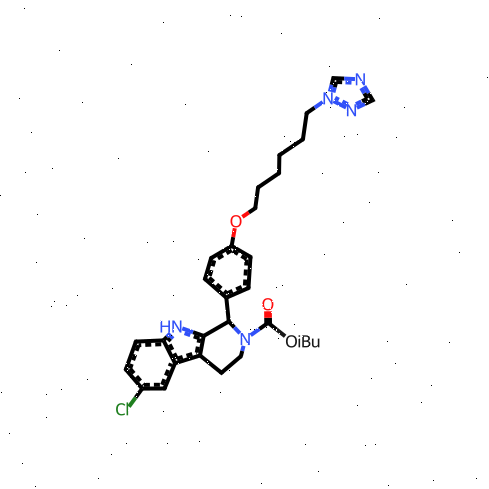 CC(C)COC(=O)N1CCc2c([nH]c3ccc(Cl)cc23)C1c1ccc(OCCCCCCn2cncn2)cc1